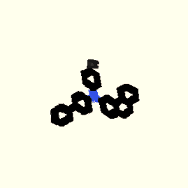 CCc1ccc(N(c2ccc(-c3ccccc3)cc2)c2ccc3ccc4ccccc4c3c2)cc1